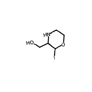 OCC1NCCOC1I